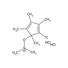 CC1=C(C)C(C)(O[SiH](C)C)[C]([Ti])=C1C.Cl.Cl